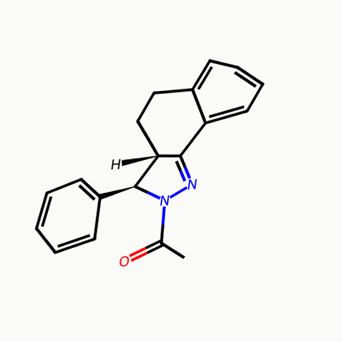 CC(=O)N1N=C2c3ccccc3CC[C@H]2[C@@H]1c1ccccc1